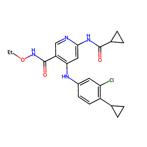 CCONC(=O)c1cnc(NC(=O)C2CC2)cc1Nc1ccc(C2CC2)c(Cl)c1